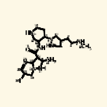 CNCCC1CNN(C2CCNCC2NC(=O)C2C(N)NN3CC(F)C=NC23)C1